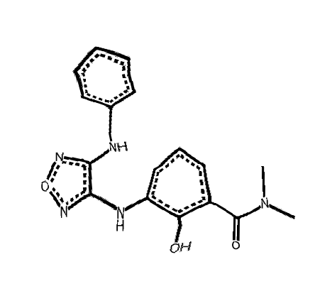 CN(C)C(=O)c1cccc(Nc2nonc2Nc2ccccc2)c1O